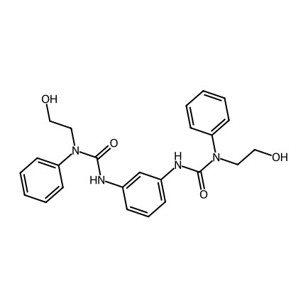 O=C(Nc1cccc(NC(=O)N(CCO)c2ccccc2)c1)N(CCO)c1ccccc1